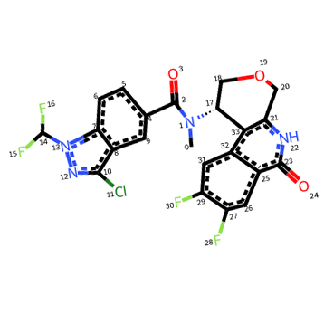 CN(C(=O)c1ccc2c(c1)c(Cl)nn2C(F)F)[C@@H]1COCc2[nH]c(=O)c3cc(F)c(F)cc3c21